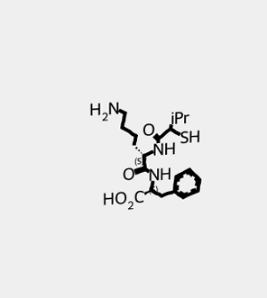 CC(C)C(S)C(=O)N[C@@H](CCCCN)C(=O)N[C@@H](Cc1ccccc1)C(=O)O